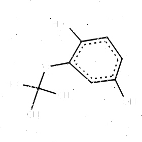 [CH2]c1ccc(O)cc1OC(C)(C)C